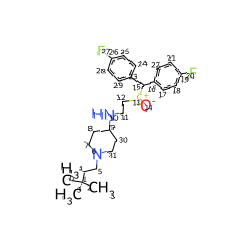 CC(C)(C)CCN1CCC(NCC[S+]([O-])C(c2ccc(F)cc2)c2ccc(F)cc2)CC1